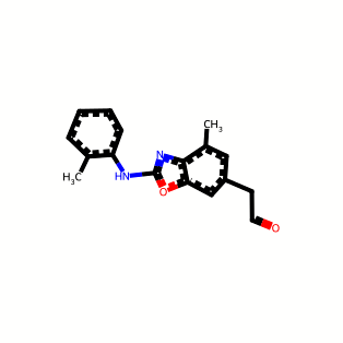 Cc1ccccc1Nc1nc2c(C)cc(CC=O)cc2o1